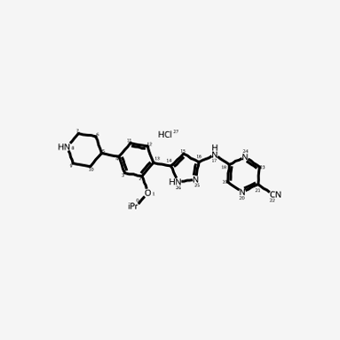 CC(C)Oc1cc(C2CCNCC2)ccc1-c1cc(Nc2cnc(C#N)cn2)n[nH]1.Cl